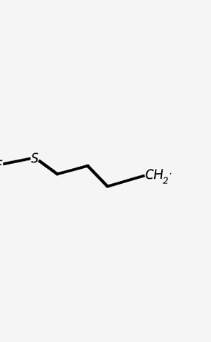 [CH2]CCCSF